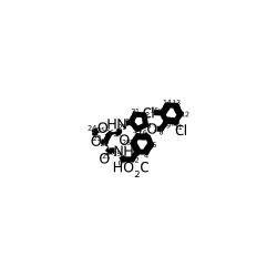 O=C(O)[C@H](Cc1ccc(OCc2c(Cl)cccc2Cl)cc1)NC(=O)[C@@H]1OCO[C@H]1C(=O)NC1CCCC1